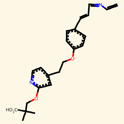 C=C/N=C\C=C\c1ccc(OCCc2ccnc(OCC(C)(C)C(=O)O)c2)cc1